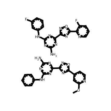 COc1cc(-c2nc(-c3nc(N)nc(Nc4ccccc4)n3)no2)ccn1.Nc1nc(Nc2cccc(F)c2)nc(-c2noc(-c3ncccc3F)n2)n1